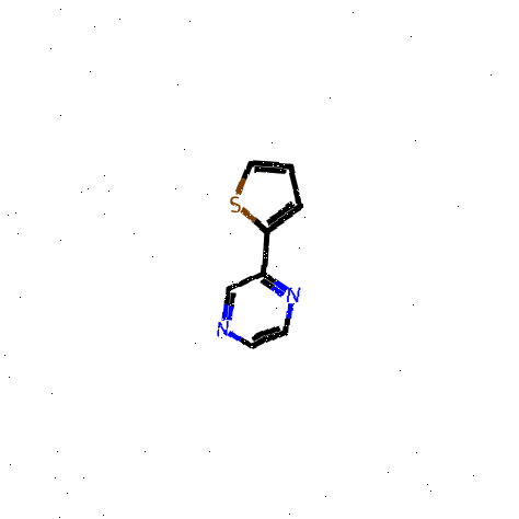 c1csc(-c2cnccn2)c1